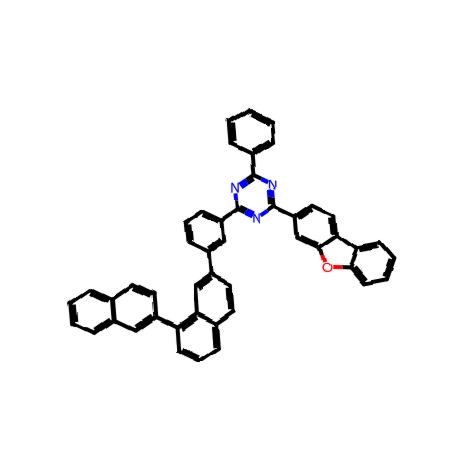 c1ccc(-c2nc(-c3cccc(-c4ccc5cccc(-c6ccc7ccccc7c6)c5c4)c3)nc(-c3ccc4c(c3)oc3ccccc34)n2)cc1